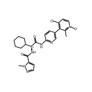 Cc1c(-c2ccc(NC(=O)[C@@H](NC(=O)c3ccnn3C)C3CCCCC3)nc2)c(Cl)cc[n+]1[O-]